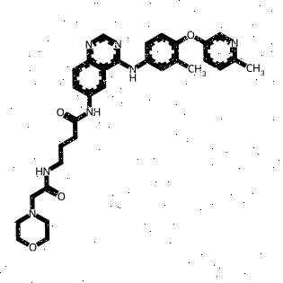 Cc1ccc(Oc2ccc(Nc3ncnc4ccc(NC(=O)CCCNC(=O)CN5CCOCC5)cc34)cc2C)cn1